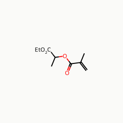 C=C(C)C(=O)OC(C)C(=O)OCC